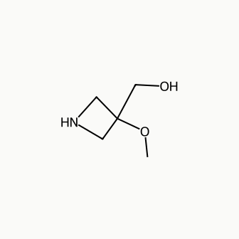 COC1(CO)CNC1